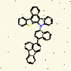 c1ccc2c(c1)-c1cccc3c(-c4ccc(-n5c6ccccc6c6c7ccccc7c7c8ccccc8sc7c65)c5ccccc45)ccc-2c13